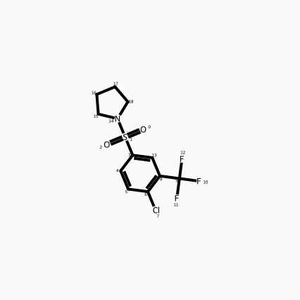 O=S(=O)(c1ccc(Cl)c(C(F)(F)F)c1)N1CCCC1